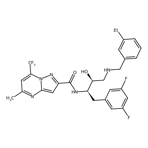 CCc1cccc(CNC[C@H](O)[C@@H](Cc2cc(F)cc(F)c2)NC(=O)c2cc3nc(C)cc(C(F)(F)F)n3n2)c1